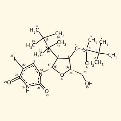 CC(C)(C)[Si](C)(C)OC1C([Si](C)(C)C(C)(C)C)[C@@H](n2cc(I)c(=O)[nH]c2=O)O[C@H]1CO